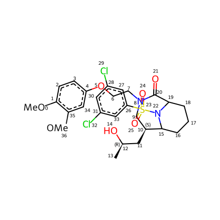 COc1ccc(OCCN2C[C@H](C[C@@H](C)O)C3CCCC(C2=O)N3S(=O)(=O)c2cc(Cl)cc(Cl)c2)cc1OC